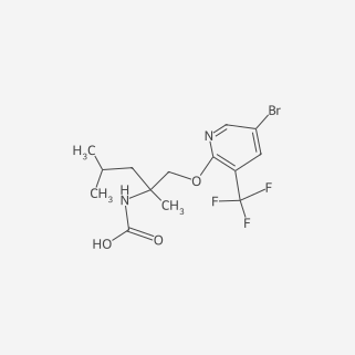 CC(C)CC(C)(COc1ncc(Br)cc1C(F)(F)F)NC(=O)O